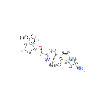 COc1c(-c2cnc(COC3CCC[C@H]3CC(=O)O)nc2)ccn2nc(N)cc12